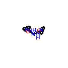 Cc1cccc2cc3cccc(C(=O)NCCCN(C)CCCNC(=O)c4cccc5cc6cccc(C)c6nc45)c3nc12